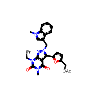 CC(=O)OCc1ccc(-c2c3c(=O)n(C)c(=O)n(CC(C)C)c3nn2Cc2cn(C)c3ccccc23)o1